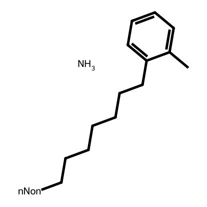 CCCCCCCCCCCCCCCCc1ccccc1C.N